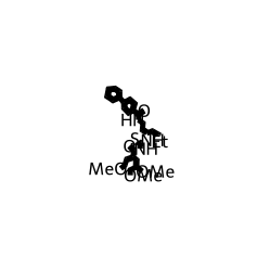 CC/C=C\C(=C/CNC(=O)c1ccc(-c2ccccc2)cc1)NC(=S)NC(=O)C(/C=C(\COC)OC)=C/COC